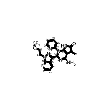 CC1C(=O)NC2=C1C(N)=NC(c1nn(CCOC(F)(F)F)c3ncccc13)N2c1ccccn1